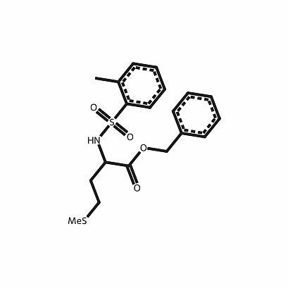 CSCCC(NS(=O)(=O)c1ccccc1C)C(=O)OCc1ccccc1